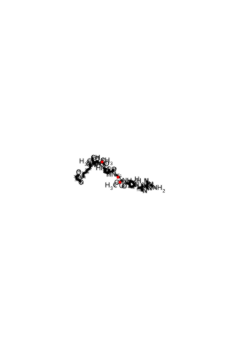 COC(=O)[C@H](CCCNC(=O)c1ccc(NC(=O)[C@H](C)NC(=O)C(NC(=O)CCCCCN2C(=O)C=CC2=O)C(C)C)s1)NC(=O)c1ccc(NCc2cnc3nc(N)nc(N)c3n2)cc1